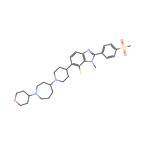 Cn1c(-c2ccc(S(C)(=O)=O)cc2)nc2ccc(C3CCN(C4CCCN(C5CCOCC5)CC4)CC3)c(F)c21